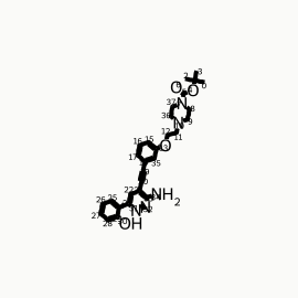 CC(C)(C)OC(=O)N1CCN(CCOc2cccc(C#Cc3cc(-c4ccccc4O)nnc3N)c2)CC1